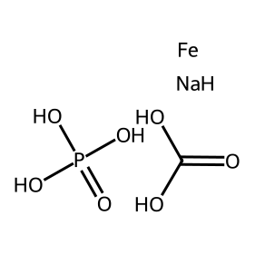 O=C(O)O.O=P(O)(O)O.[Fe].[NaH]